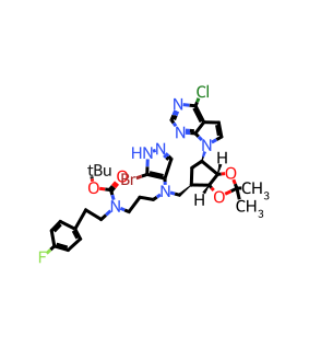 CC(C)(C)OC(=O)N(CCCN(C[C@H]1C[C@@H](n2ccc3c(Cl)ncnc32)[C@@H]2OC(C)(C)O[C@H]12)c1cn[nH]c1Br)CCc1ccc(F)cc1